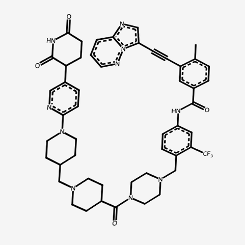 Cc1ccc(C(=O)Nc2ccc(CN3CCN(C(=O)C4CCN(CC5CCN(c6ccc(C7CCC(=O)NC7=O)cn6)CC5)CC4)CC3)c(C(F)(F)F)c2)cc1C#Cc1cnc2cccnn12